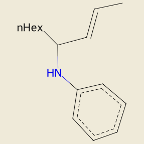 C/C=C/C(CCCCCC)Nc1ccccc1